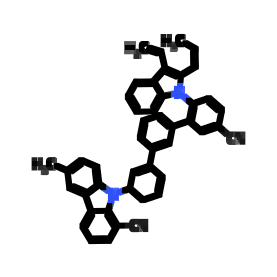 C=Cc1c(/C=C\C)n(-c2ccc(C#N)cc2-c2cccc(C3=CC(n4c5ccc(C)cc5c5cccc(C#N)c54)CC=C3)c2)c2ccccc12